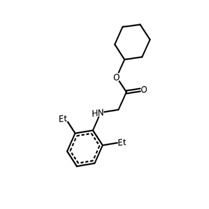 CCc1cccc(CC)c1NCC(=O)OC1CCCCC1